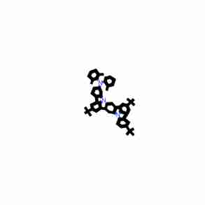 Cc1ccccc1N(c1ccc2c3cc(C(C)(C)C)cc4c3n(c2c1)C1=Cc2c(n3c5ccc(C(C)(C)C)cc5c5cc(C(C)(C)C)cc2c53)CC14)c1c(C)cccc1C